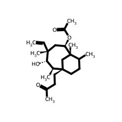 C=C[C@]1(C)C[C@@H](OC(C)=O)[C@@]2(C)C[C@](CCC(C)=O)(CCC2C)[C@@H](C)[C@@H]1O